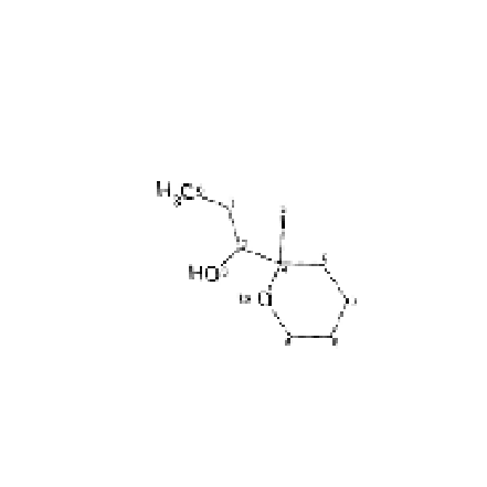 CCC(O)C1(I)CCCCO1